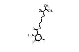 C=C(C)C(=O)OCCCOC(=O)c1cc(I)cc(I)c1O